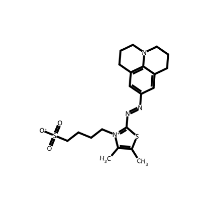 Cc1sc(/N=N/c2cc3c4c(c2)CCCN4CCC3)[n+](CCCCS(=O)(=O)[O-])c1C